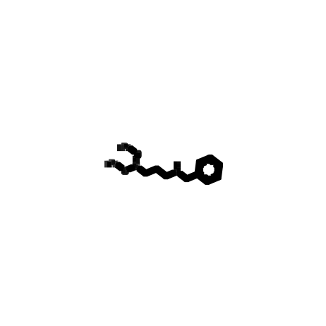 CCCO[SiH](CCCNCc1ccccc1)OCCC